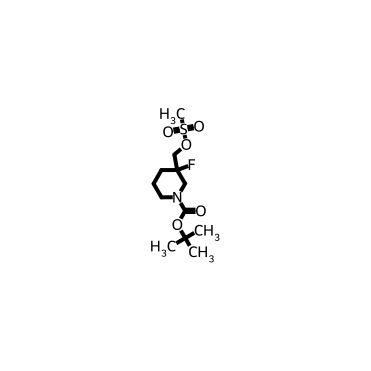 CC(C)(C)OC(=O)N1CCCC(F)(COS(C)(=O)=O)C1